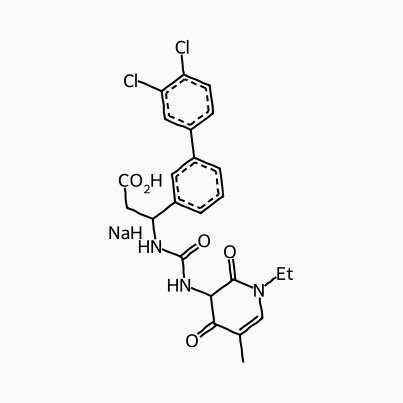 CCN1C=C(C)C(=O)C(NC(=O)NC(CC(=O)O)c2cccc(-c3ccc(Cl)c(Cl)c3)c2)C1=O.[NaH]